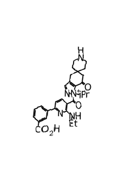 CCNc1nc(-c2cccc(C(=O)O)c2)ccc1C(=O)[N+]1(C(C)C)N=CC2=C1C(=O)CC1(CCNCC1)C2